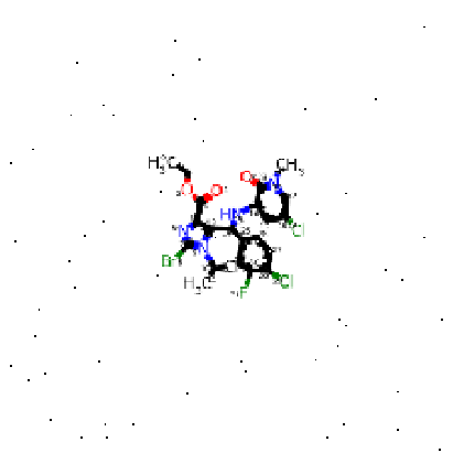 CCOC(=O)c1nc(Br)n(C(C)C)c1C(Nc1cc(Cl)cn(C)c1=O)c1ccc(Cl)c(F)c1